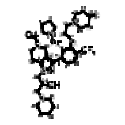 CC(=O)N1CCC[C@H]1C(=O)N1CCc2c(c(-c3ccc(C(F)(F)F)c(SCCN4CCC(F)CC4)c3)nn2CC(O)CN2CCCCC2)C1